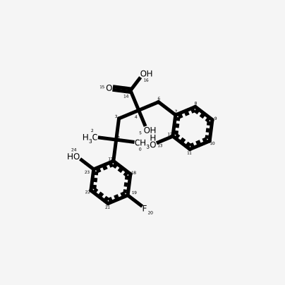 CC(C)(CC(O)(Cc1ccccc1O)C(=O)O)c1cc(F)ccc1O